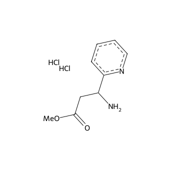 COC(=O)CC(N)c1ccccn1.Cl.Cl